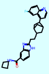 O=C(NC1CCC1)c1ccc2[nH]c(CCC3CC4CC3CC4c3ccnc4ccc(F)cc34)nc2c1